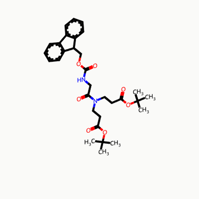 CC(C)(C)OC(=O)CCN(CCC(=O)OC(C)(C)C)C(=O)CNC(=O)OCC1c2ccccc2-c2ccccc21